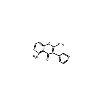 Nc1oc2cccc(N)c2c(=O)c1-c1ccccc1